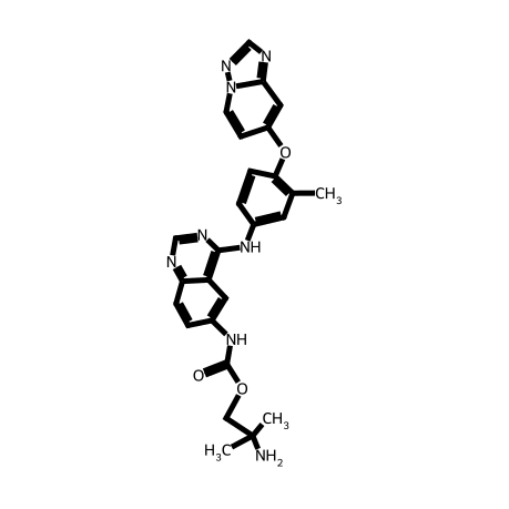 Cc1cc(Nc2ncnc3ccc(NC(=O)OCC(C)(C)N)cc23)ccc1Oc1ccn2ncnc2c1